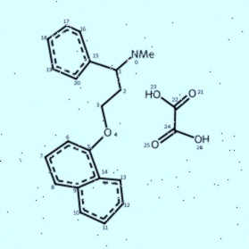 CNC(CCOc1cccc2ccccc12)c1ccccc1.O=C(O)C(=O)O